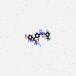 COc1ccc2c(-c3ccc(NC(=O)Nc4cc(C(F)(F)F)ccc4F)cc3)c(C(N)=O)[nH]c2c1